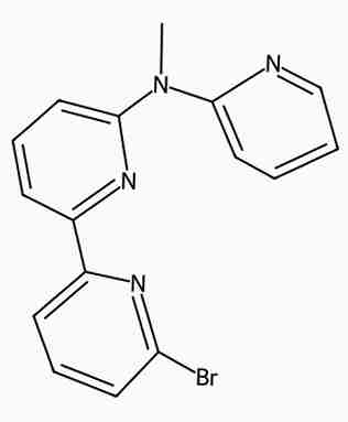 CN(c1ccccn1)c1cccc(-c2cccc(Br)n2)n1